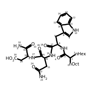 CCCCCCCCC(CCCCCC)C(=O)NC(Cc1c[nH]c2ccccc12)C(=O)NC(CC(N)=O)C(=O)NC(CC(=O)O)C(N)=O